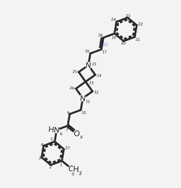 Cc1cccc(NC(=O)CCN2CC3(CN(C/C=C/c4ccccc4)C3)C2)c1